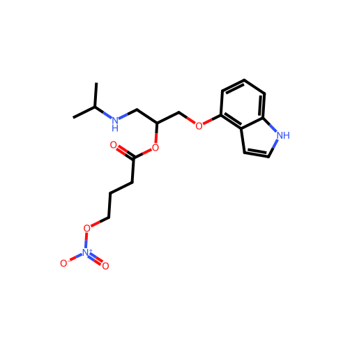 CC(C)NCC(COc1cccc2[nH]ccc12)OC(=O)CCCO[N+](=O)[O-]